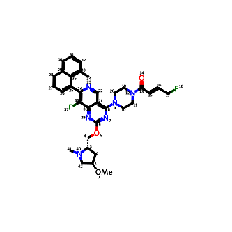 CO[C@@H]1C[C@@H](COc2nc(N3CCN(C(=O)/C=C/CF)CC3)c3cnc(-c4cccc5cccc(C)c45)c(F)c3n2)N(C)C1